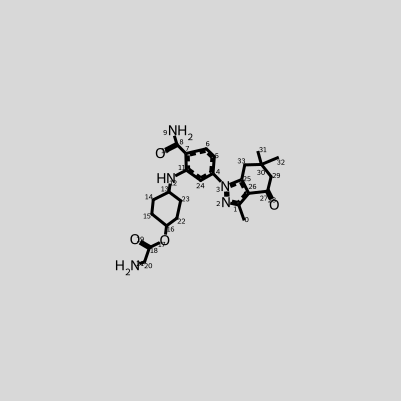 Cc1nn(-c2ccc(C(N)=O)c(NC3CCC(OC(=O)CN)CC3)c2)c2c1C(=O)CC(C)(C)C2